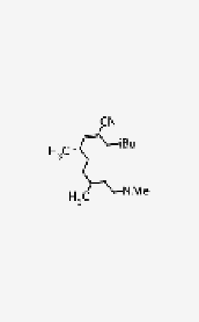 CCC(C)C/C(C#N)=C\[C@@H](C)CC[C@H](C)CCNC